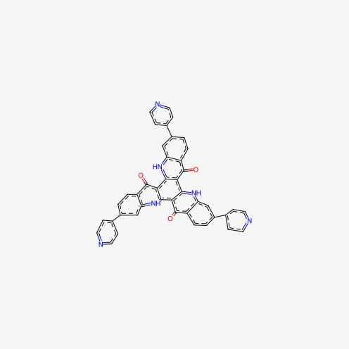 O=c1c2ccc(-c3ccncc3)cc2[nH]c2c1c1[nH]c3cc(-c4ccncc4)ccc3c(=O)c1c1[nH]c3cc(-c4ccncc4)ccc3c(=O)c21